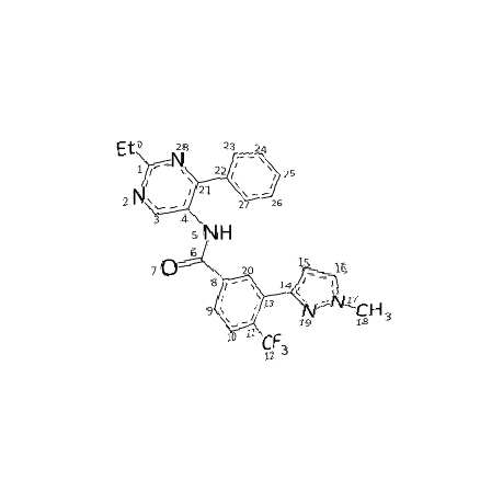 CCc1ncc(NC(=O)c2ccc(C(F)(F)F)c(-c3ccn(C)n3)c2)c(-c2ccccc2)n1